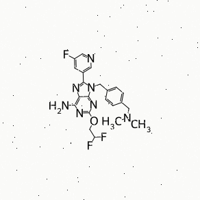 CN(C)Cc1ccc(Cn2c(-c3cncc(F)c3)nc3c(N)nc(OCC(F)F)nc32)cc1